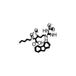 CCCCCN(OC)C(C(=O)O)C(=C=O)CCNC(=N)N[N+](=O)[O-].c1ccc2c(c1)Cc1ccccc1-2